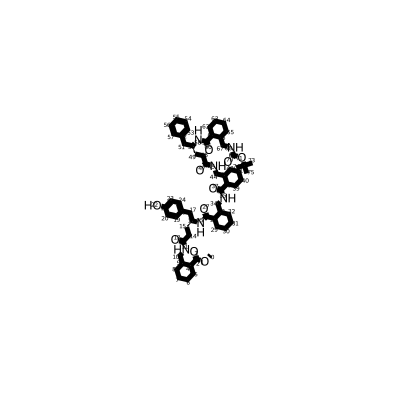 COC(=O)C1CCCCC1CNC(=O)CC[C@H](Cc1ccc(O)cc1)NC(=O)C1CCCCC1CNC(=O)C1CCCCC1CNC(=O)CC[C@H](Cc1ccccc1)NC(=O)C1CCCCC1CNC(=O)OC(C)(C)C